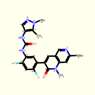 CNc1cc2c(cn1)cc(-c1cc(NC(=O)Nc3cnn(C(C)(C)C)c3C)c(F)cc1F)c(=O)n2C